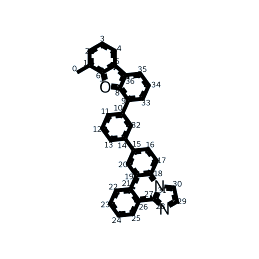 Cc1cccc2c1oc1c(-c3cccc(-c4ccc5c(c4)c4ccccc4c4nccn54)c3)cccc12